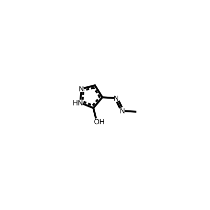 CN=Nc1cn[nH]c1O